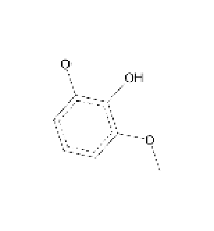 COc1cccc([O])c1O